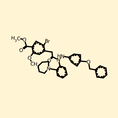 COC(=O)c1cc(Br)c(CC(=O)N(Nc2ccc(OCc3ccccc3)cc2)c2ccccc2N2CCCCC2)cc1OC